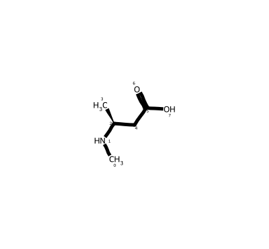 CN[C@@H](C)CC(=O)O